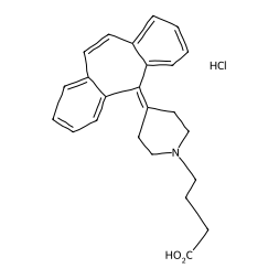 Cl.O=C(O)CCCN1CCC(=C2c3ccccc3C=Cc3ccccc32)CC1